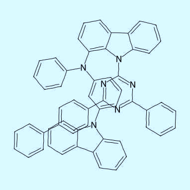 c1ccc(-c2ccc(-c3nc(-c4ccccc4)nc(-n4c5ccccc5c5cccc(N(c6ccccc6)c6cccc(-n7c8ccccc8c8ccccc87)c6)c54)n3)cc2)cc1